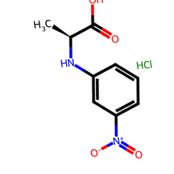 C[C@H](Nc1cccc([N+](=O)[O-])c1)C(=O)O.Cl